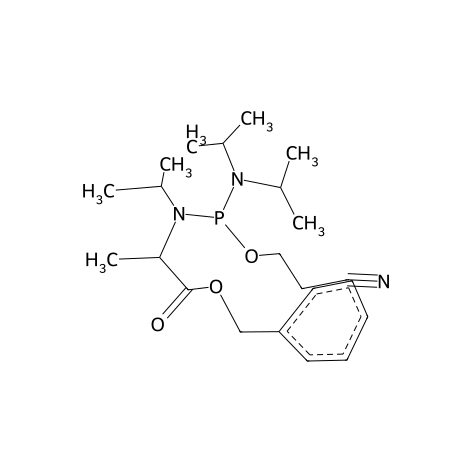 CC(C)N(C(C)C)P(OCCC#N)N(C(C)C)C(C)C(=O)OCc1ccccc1